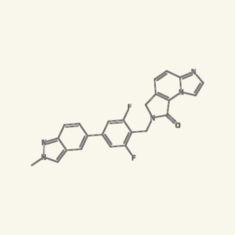 Cn1cc2cc(-c3cc(F)c(CN4Cc5ccc6nccn6c5C4=O)c(F)c3)ccc2n1